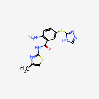 Cc1csc(NC(=O)c2cc(Sc3nnc[nH]3)ccc2N)n1